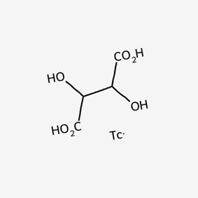 O=C(O)C(O)C(O)C(=O)O.[Tc]